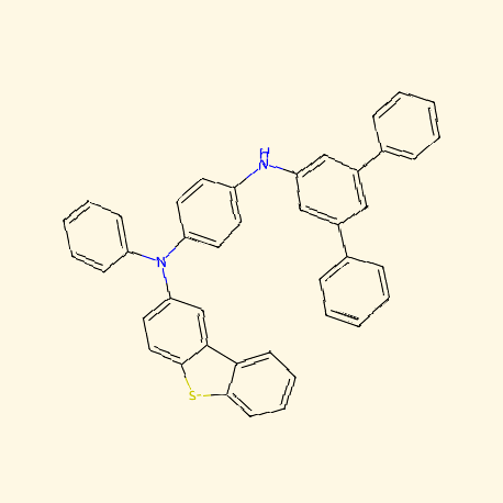 c1ccc(-c2cc(Nc3ccc(N(c4ccccc4)c4ccc5sc6ccccc6c5c4)cc3)cc(-c3ccccc3)c2)cc1